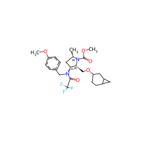 COC(=O)N1[C@H](C)C[C@H](N(Cc2ccc(OC)cc2)C(=O)C(F)(F)F)[C@@H]1COC1CCC2CC2C1